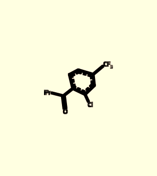 CC(C)C(=O)c1ccc(C(F)(F)F)cc1Cl